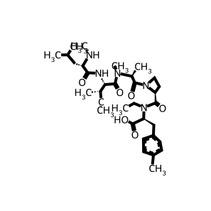 CC[C@H](C)[C@H](NC(=O)[C@H](CC(C)C)NC)C(=O)N(C)[C@@H](C)C(=O)N1CC[C@H]1C(=O)N(CC)[C@@H](Cc1ccc(C)cc1)C(=O)O